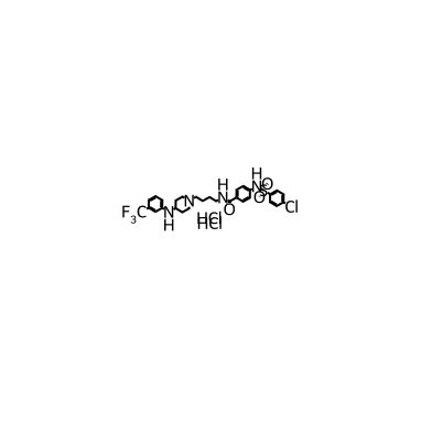 Cl.Cl.O=C(NCCCCN1CCC(Nc2cccc(C(F)(F)F)c2)CC1)c1ccc(NS(=O)(=O)c2ccc(Cl)cc2)cc1